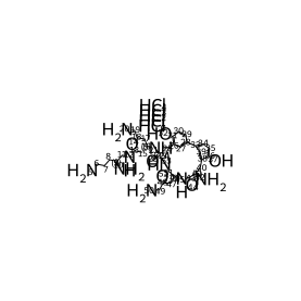 Cl.Cl.Cl.Cl.Cl.NCCC[C@H](N)CNC(=O)C[C@H](CCCN)NC(=O)[C@@H]1Cc2cc(ccc2O)-c2ccc(O)c(c2)C[C@H](N)C(=O)N[C@@H](CCCN)C(=O)N1